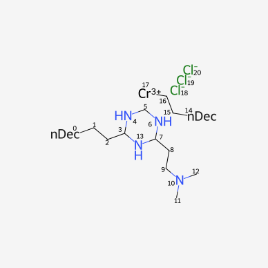 CCCCCCCCCCCCC1NCNC(CCN(C)C)N1.CCCCCCCCCCC[CH2][Cr+3].[Cl-].[Cl-].[Cl-]